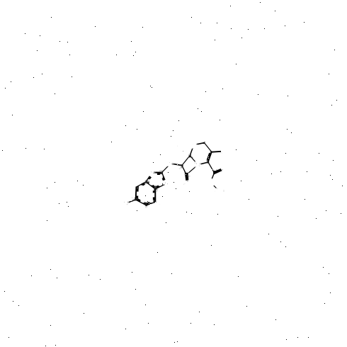 CC1=C(C(=O)OC(C)(C)C)N2C(=O)C(Nc3nc4cc([N+](=O)[O-])ccc4[nH]3)[C@H]2SC1